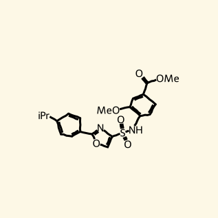 COC(=O)c1ccc(NS(=O)(=O)c2coc(-c3ccc(C(C)C)cc3)n2)c(OC)c1